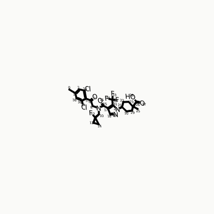 Cc1cc(Cl)c(C(=O)CN(CC2(F)CC2)C(=O)c2cnn(C3CCC(C)(C(=O)O)CC3)c2C(F)(F)F)c(Cl)c1